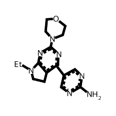 CCN1CCc2c(-c3cnc(N)nc3)nc(N3CCOCC3)nc21